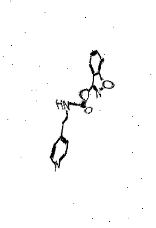 O=C(NCCc1ccncc1)Oc1noc2ccccc12